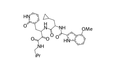 COc1cccc2[nH]c(C(=O)NC(CC3CC3)C(=O)NC(Cc3ccc[nH]c3=O)C(=O)C(=O)NCC(C)C)cc12